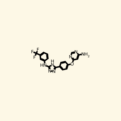 Nc1cc(Oc2ccc(-c3nnc(Nc4cccc(C(F)(F)F)c4)[nH]3)cc2)ncn1